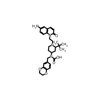 CC(C)(C)C1CC(N(Cc2ccc3c(c2)OCCO3)C(=O)O)CCN1CCn1c(=O)ccc2cc(N)ccc21